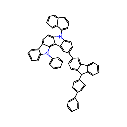 c1ccc(-c2ccc(C3c4ccccc4-c4cc(-c5ccc6c(c5)c5c(ccc7c8ccccc8n(-c8ccccc8)c75)n6-c5cccc6ccccc56)ccc43)cc2)cc1